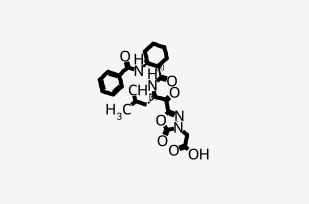 CC(C)C[C@H](NC(=O)[C@@H]1CCCC[C@@H]1NC(=O)c1ccccc1)C(=O)c1nn(CC(=O)O)c(=O)o1